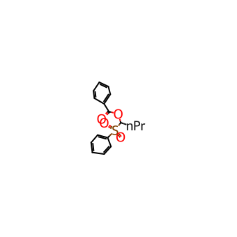 CCCC(OC(=O)c1ccccc1)S(=O)(=O)c1ccccc1